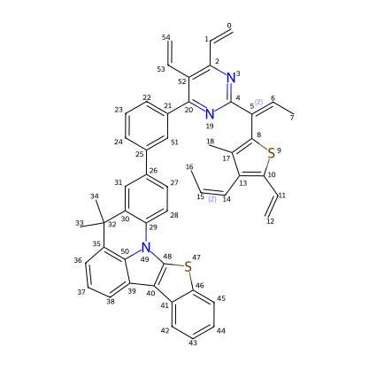 C=Cc1nc(/C(=C/C)c2sc(C=C)c(/C=C\C)c2C)nc(-c2cccc(-c3ccc4c(c3)C(C)(C)c3cccc5c6c7ccccc7sc6n-4c35)c2)c1C=C